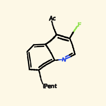 CCCC(C)c1cccc2c(C(C)=O)c(F)cnc12